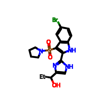 CCC(O)c1c[nH]c(-c2[nH]c3ccc(Br)cc3c2S(=O)(=O)N2CCCC2)n1